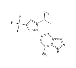 Cc1cc(-n2cc(C(F)(F)F)nc2C(C)F)cc2cn[nH]c12